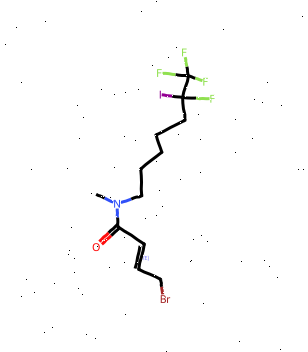 CN(CCCCCC(F)(I)C(F)(F)F)C(=O)/C=C/CBr